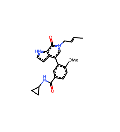 CC=CCn1cc(-c2cc(C(=O)NC3CC3)ccc2OC)c2cc[nH]c2c1=O